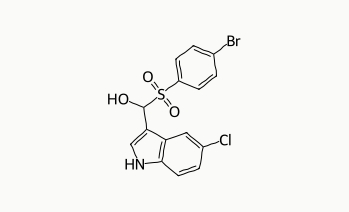 O=S(=O)(c1ccc(Br)cc1)C(O)c1c[nH]c2ccc(Cl)cc12